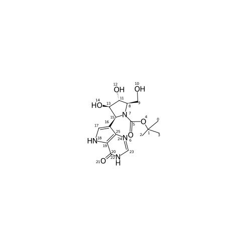 CC(C)(C)OC(=O)N1[C@H](CO)[C@@H](O)[C@H](O)[C@@H]1c1c[nH]c2c(=O)[nH]cnc12